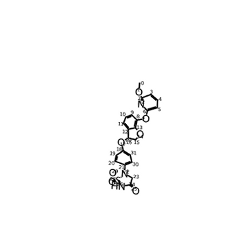 COc1cccc(Oc2cccc3c2OC[C@H]3Oc2ccc(N3CC(=O)NS3(=O)=O)cc2)n1